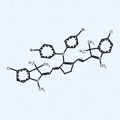 CN1/C(=C/C=C2\CCC(/C=C/C3=[N+](C)c4ccc(Cl)cc4C3(C)C)=C2N(c2ccc(Br)cc2)c2ccc(Br)cc2)C(C)(C)c2cc(Cl)ccc21